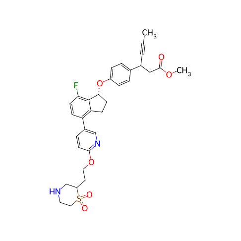 CC#CC(CC(=O)OC)c1ccc(O[C@@H]2CCc3c(-c4ccc(OCCC5CNCCS5(=O)=O)nc4)ccc(F)c32)cc1